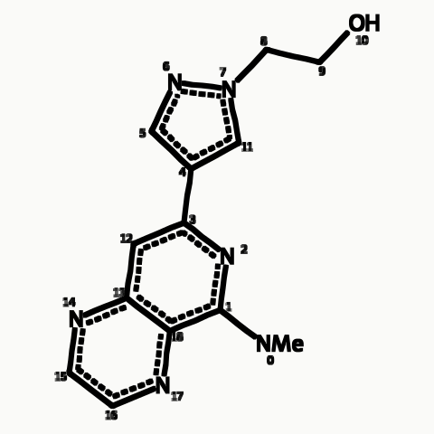 CNc1nc(-c2cnn(CCO)c2)cc2nccnc12